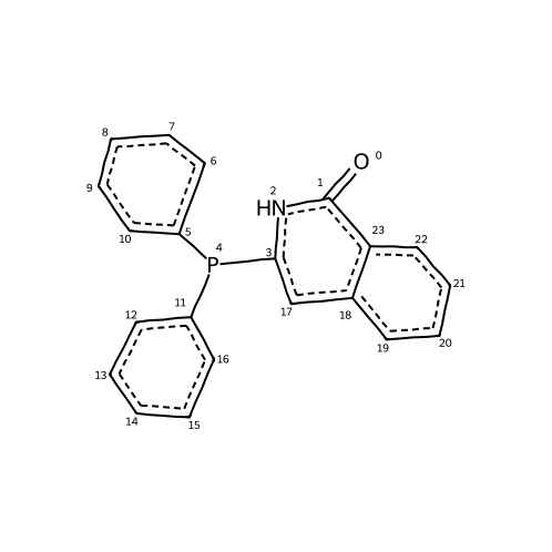 O=c1[nH]c(P(c2ccccc2)c2ccccc2)cc2ccccc12